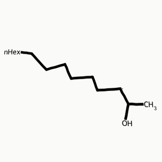 CCCCCCCCCCCC[CH]C(C)O